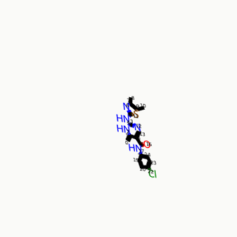 C=C1NC(Nc2nc(C)c(C)s2)=NC=C1C(=O)Nc1ccc(Cl)cc1